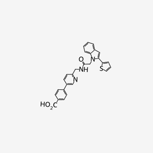 O=C(Cn1c(-c2cccs2)cc2ccccc21)NCc1ccc(-c2ccc(C(=O)O)cc2)cn1